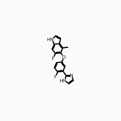 Cc1c(Oc2ccc(F)c(-c3nc[c][nH]3)c2)c(F)cc2[nH]ccc12